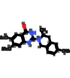 COc1ccc2c(c1)CC(C)N(c1nc3cc(OC)c(OC)cc3c(=O)[nH]1)C2